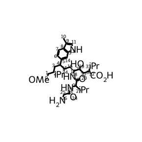 COCCCC(c1ccc2c(C)c[nH]c2c1)[C@@H](C[C@H](NC(=O)C(NC(=O)CN)C(C)C)[C@@H](O)C[C@H](C(=O)O)C(C)C)C(C)C